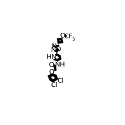 O=C(COc1ccc(Cl)c(Cl)c1)N[C@H]1CC[C@H](c2nnc([C@H]3C[C@@H](OC(F)(F)F)C3)o2)NC1